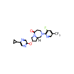 O=C1CCN(c2ncc(C(F)(F)F)cc2F)C[C@@H]2C[C@H](Oc3cnc(C4CC4)cn3)CN12